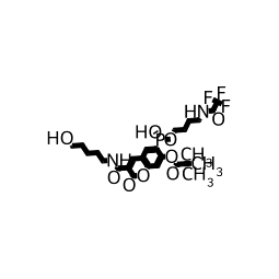 CC(C)(C)C(=O)Oc1cc2oc(=O)c(C(=O)NCCCCCO)cc2cc1P(O)OCCCCNC(=O)C(F)(F)F